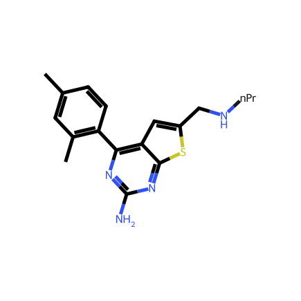 CCCNCc1cc2c(-c3ccc(C)cc3C)nc(N)nc2s1